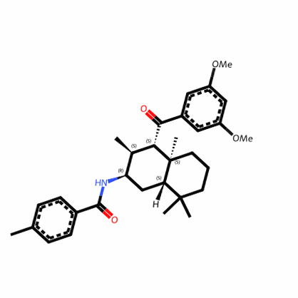 COc1cc(OC)cc(C(=O)[C@H]2[C@H](C)[C@H](NC(=O)c3ccc(C)cc3)C[C@H]3C(C)(C)CCC[C@]23C)c1